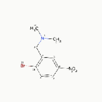 CN(C)Cc1cc([N+](=O)[O-])ccc1Br